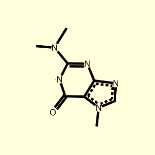 CN(C)C1=Nc2ncn(C)c2C(=O)[N]1